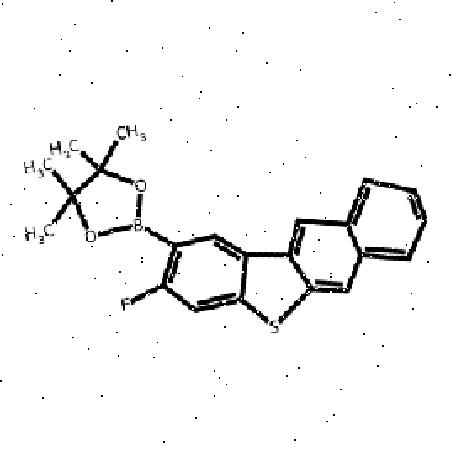 CC1(C)OB(c2cc3c(cc2F)sc2cc4ccccc4cc23)OC1(C)C